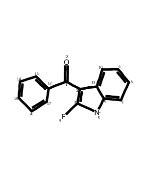 O=C(C1=C(F)[N]c2ccccc21)c1ccccc1